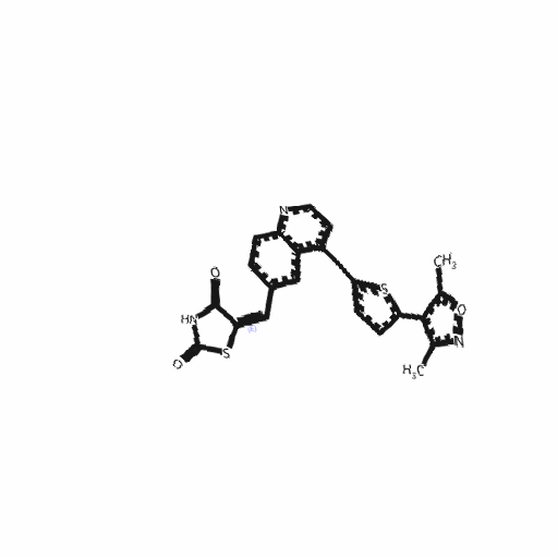 Cc1noc(C)c1-c1ccc(-c2ccnc3ccc(/C=C4/SC(=O)NC4=O)cc23)s1